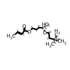 CC=CC(=O)OCCC[PH](=O)OCC[N+](C)(C)C